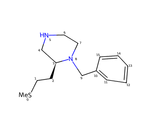 CSCC[C@H]1CNCCN1Cc1ccccc1